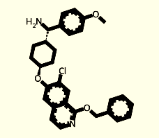 COc1ccc(C(N)[C@H]2CC[C@H](Oc3cc4ccnc(OCc5ccccc5)c4cc3Cl)CC2)cc1